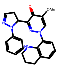 COc1cn(-c2cccc3c2NCCC3)nc(C2CC=NN2c2ccccc2)c1=O